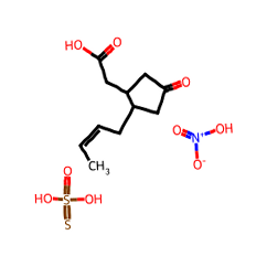 C/C=C\CC1CC(=O)CC1CC(=O)O.O=S(O)(O)=S.O=[N+]([O-])O